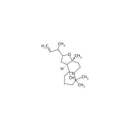 C=CC(C)C1C[C@@H]2C3(C)CCCC(C)(C)N3CC[C@@]2(C)O1